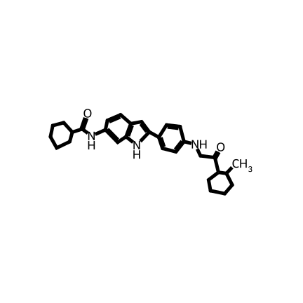 CC1CCCCC1C(=O)CNc1ccc(-c2cc3ccc(NC(=O)C4CCCCC4)cc3[nH]2)cc1